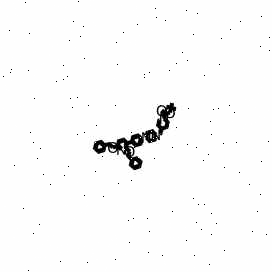 CC(C)(C)OC(=O)N1CCC(CN2CCN(c3ccc(-c4ccc(OCc5ccccc5)nc4OCc4ccccc4)cc3)CC2)CC1